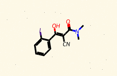 CN(C)C(=O)/C(C#N)=C(\O)c1ccccc1I